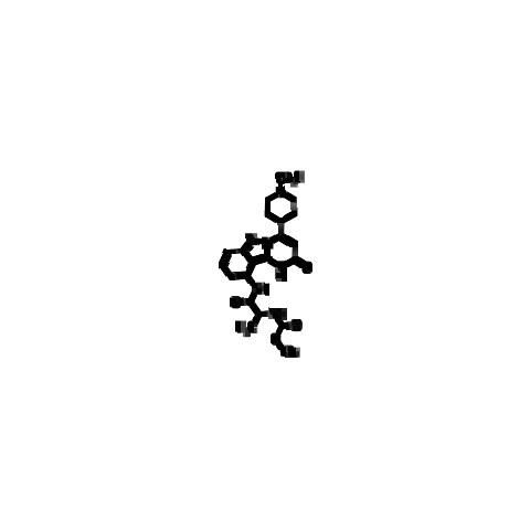 CC(NC(=O)OC(C)(C)C)C(=O)Nc1cccc2nn3c(C4CCN(C(=O)O)CC4)cc(=O)[nH]c3c12